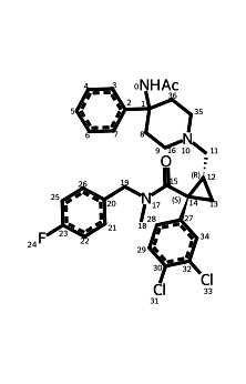 CC(=O)NC1(c2ccccc2)CCN(C[C@@H]2C[C@@]2(C(=O)N(C)Cc2ccc(F)cc2)c2ccc(Cl)c(Cl)c2)CC1